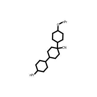 CCCOC1CCC(C2(C#N)CCC(C3CCC(CCC)CC3)CC2)CC1